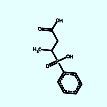 CC(CC(=O)O)P(=O)(O)c1ccccc1